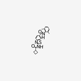 Cc1cccc(C)c1NC(=O)c1ccc2nc(NC(=O)C3CCC3)sc2c1